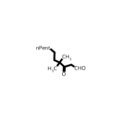 CCCCCCCC(C)(C)C(=O)CC=O